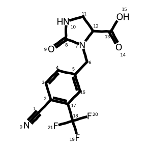 N#Cc1ccc(CN2C(=O)NCC2C(=O)O)cc1C(F)(F)F